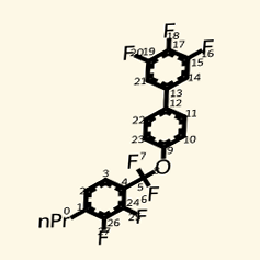 CCCc1ccc(C(F)(F)Oc2ccc(-c3cc(F)c(F)c(F)c3)cc2)c(F)c1F